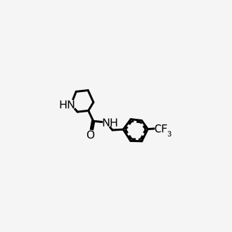 O=C(NCc1ccc(C(F)(F)F)cc1)C1CCCNC1